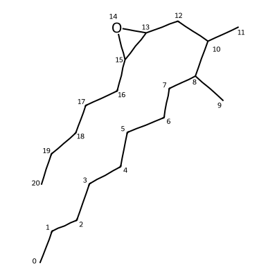 CCCCCCCCC(C)C(C)CC1OC1CCCCC